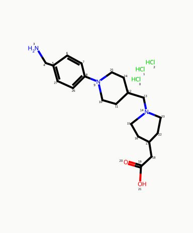 Cl.Cl.Cl.NCc1ccc(N2CCC(CN3CCC(CC(=O)O)CC3)CC2)cc1